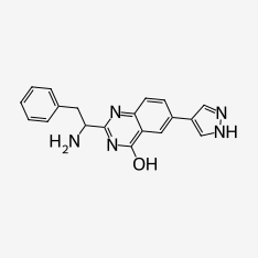 NC(Cc1ccccc1)c1nc(O)c2cc(-c3cn[nH]c3)ccc2n1